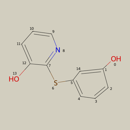 Oc1cccc(Sc2ncccc2O)c1